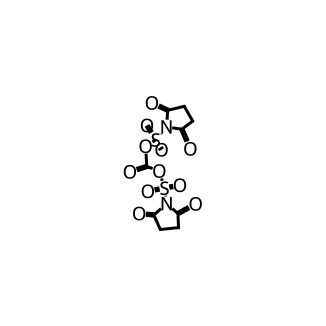 O=C(OS(=O)(=O)N1C(=O)CCC1=O)OS(=O)(=O)N1C(=O)CCC1=O